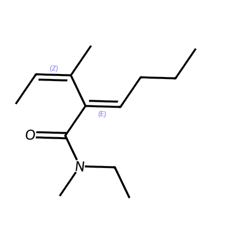 C/C=C(C)\C(=C/CCC)C(=O)N(C)CC